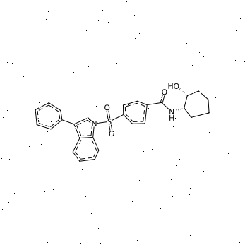 O=C(N[C@H]1CCCC[C@H]1O)c1ccc(S(=O)(=O)n2cc(-c3ccccc3)c3ccccc32)cc1